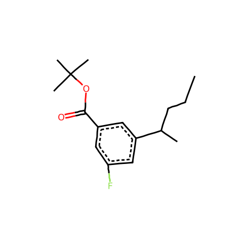 CCCC(C)c1cc(F)cc(C(=O)OC(C)(C)C)c1